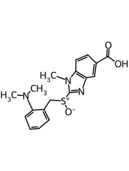 CN(C)c1ccccc1C[S+]([O-])c1nc2cc(C(=O)O)ccc2n1C